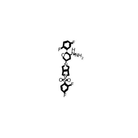 NN[C@H]1C[C@@H](N2CC3=C(C2)CN(S(=O)(=O)c2ccc(F)cc2F)C3)CO[C@@H]1c1cc(F)ccc1F